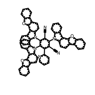 N#Cc1c(-c2ccccn2)c(-n2c3ccccc3c3c4oc5ccccc5c4ccc32)c(-n2c3ccccc3c3c4oc5ccccc5c4ccc32)c(C#N)c1-n1c2ccccc2c2c3oc4ccccc4c3ccc21